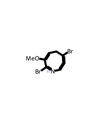 COC1=CCC(Br)=C=C/N=C\1Br